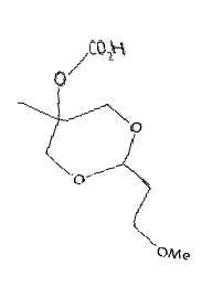 COCCC1OCC(C)(OC(=O)O)CO1